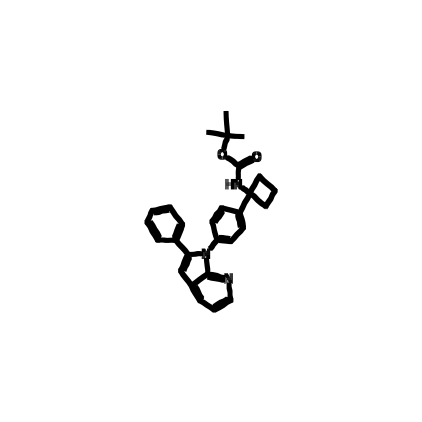 CC(C)(C)OC(=O)NC1(c2ccc(-n3c(-c4ccccc4)cc4cccnc43)cc2)CCC1